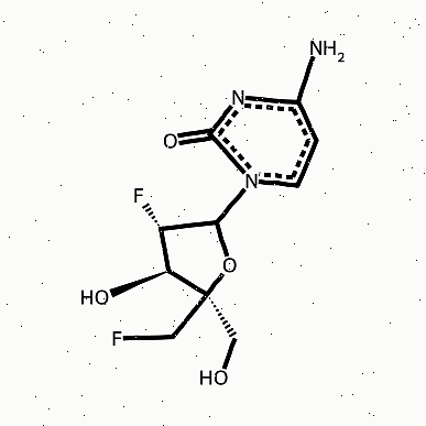 Nc1ccn(C2O[C@@](CO)(CF)[C@@H](O)[C@@H]2F)c(=O)n1